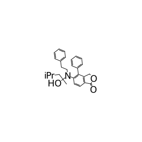 CC(C)CC(C)(O)N(CCc1ccccc1)c1ccc2c(c1-c1ccccc1)COC2=O